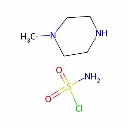 CN1CCNCC1.NS(=O)(=O)Cl